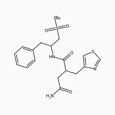 CC(C)(C)S(=O)(=O)CC(Cc1ccccc1)NC(=O)C(CC(N)=O)Cc1cscn1